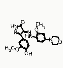 COc1cc(C2=NNC(=O)/C2=N/Nc2ccc(N3CCOCC3)cc2OC)ccc1O